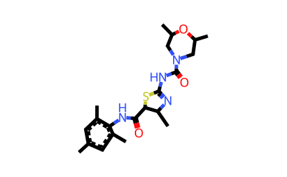 Cc1cc(C)c(NC(=O)C2SC(NC(=O)N3CC(C)OC(C)C3)=NC2C)c(C)c1